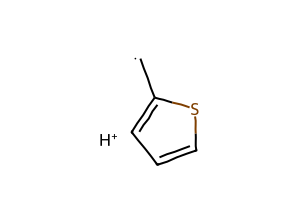 [CH2]c1cccs1.[H+]